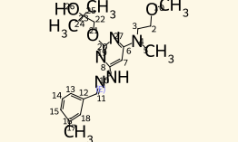 COCCN(C)c1cc(N/N=C/c2cccc(C)c2)nc(OCC(C)(C)O)n1